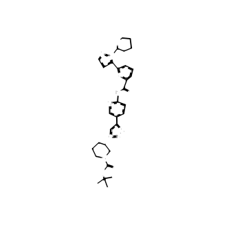 CC(C)(C)OC(=O)N1CCC[C@H](n2cc(-c3ccc(NC(=O)c4cccc(-c5ccnn5C5CCCCO5)n4)nc3)nn2)C1